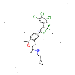 C=C(CCc1cc(/C(F)=C/C(c2cc(Cl)c(Cl)c(Cl)c2)C(F)(F)F)ccc1C(C)=O)NCCC1CC1